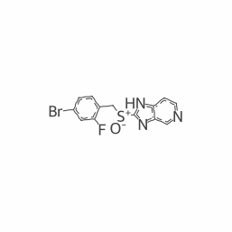 [O-][S+](Cc1ccc(Br)cc1F)c1nc2cnccc2[nH]1